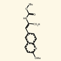 COc1ccc2cc(/C=C(/NC(=O)OC(C)(C)C)C(=O)O)ccc2n1